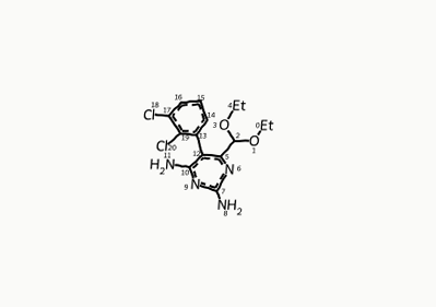 CCOC(OCC)c1nc(N)nc(N)c1-c1cccc(Cl)c1Cl